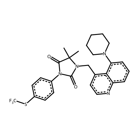 CC1(C)C(=O)N(c2ccc(SC(F)(F)F)cc2)C(=O)N1Cc1ccnc2cccc(N3CCCCC3)c12